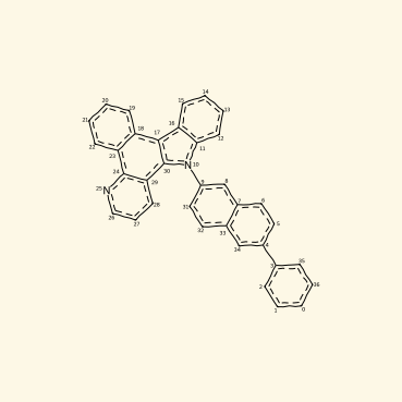 c1ccc(-c2ccc3cc(-n4c5ccccc5c5c6ccccc6c6ncccc6c54)ccc3c2)cc1